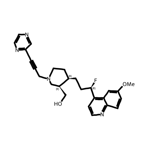 COc1ccc2nccc([C@H](F)CC[C@@H]3CCN(CC#Cc4cnccn4)C[C@@H]3CO)c2c1